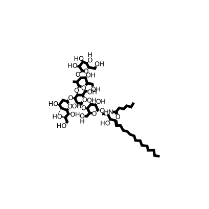 CCCCCCCCCCCCC/C=C/[C@@H](O)[C@H](CO[C@@H]1OC(CO)[C@@H](O[C@@H]2OC(CO)[C@H](O[C@@H]3OC(CO)[C@H](O)[C@H](O[C@@H]4OC(CO)[C@H](O)[C@H](O)C4O)C3C)[C@H](OC3C[C@@H](O)[C@@H](C)C([C@H](O)[C@H](O)CO)O3)C2O)[C@H](O)C1O)NC(=O)CCCCC